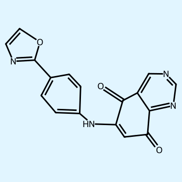 O=C1C(Nc2ccc(-c3ncco3)cc2)=CC(=O)c2ncncc21